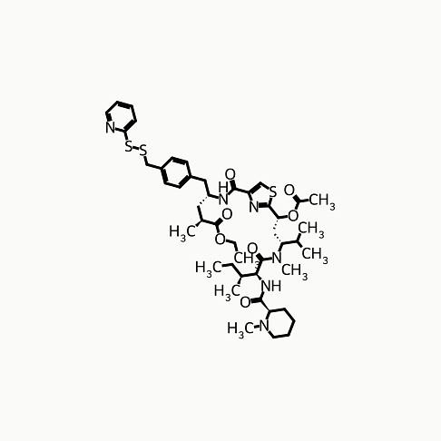 CCOC(=O)[C@@H](C)C[C@H](Cc1ccc(CSSc2ccccn2)cc1)NC(=O)c1csc([C@@H](C[C@H](C(C)C)N(C)C(=O)[C@@H](NC(=O)[C@H]2CCCCN2C)[C@@H](C)CC)OC(C)=O)n1